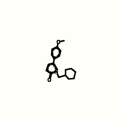 COc1ccc(-c2ccc(=O)n(CC3CCCCC3)c2)cc1